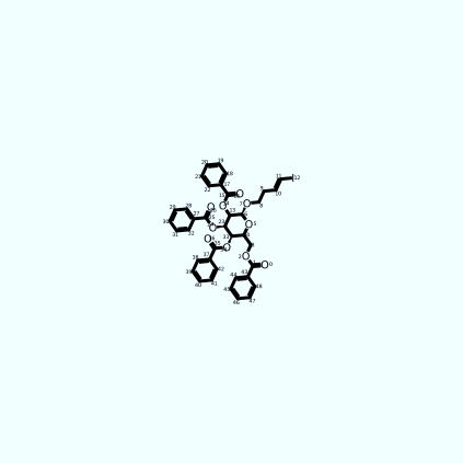 O=C(OCC1O[C@H](OCCC=CI)C(OC(=O)c2ccccc2)[C@H](OC(=O)c2ccccc2)[C@@H]1OC(=O)c1ccccc1)c1ccccc1